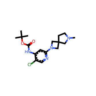 CN1CCC2(C1)CN(c1cc(NC(=O)OC(C)(C)C)c(Cl)cn1)C2